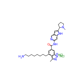 Cc1n[nH]c2cc(C(=O)Nc3cc4[nH]c(C5CCCN5C)cc4cn3)cc(CCCCCCCCN)c12.Cl.Cl